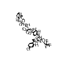 COC(=O)[C@H](CCNC(=O)C(=O)Nc1nccn1C)NC(=O)c1ccc(Nc2nc(NC3(c4ccc(Cl)cc4)CC3)nc(OCC(F)(F)F)n2)cc1